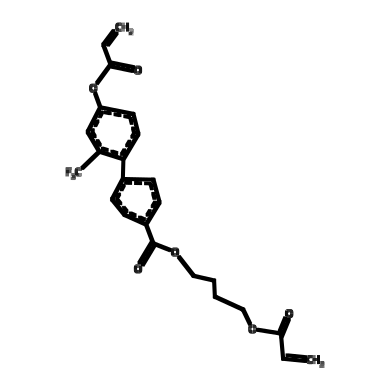 C=CC(=O)OCCCCOC(=O)c1ccc(-c2ccc(OC(=O)C=C)cc2C(F)(F)F)cc1